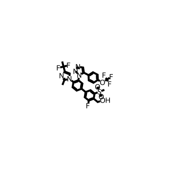 Cc1nc(C(C)(F)F)cn1-c1ccc(-c2cc(F)c(CO)c(S(C)(=O)=O)c2)cc1-n1nncc1-c1ccc(OC(F)(F)F)cc1